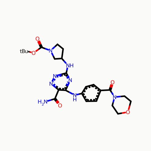 CC(C)(C)OC(=O)N1CCC(Nc2nnc(C(N)=O)c(Nc3ccc(C(=O)N4CCOCC4)cc3)n2)C1